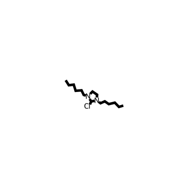 CCCCCCN1CCN(CCCCCC)C1Cl